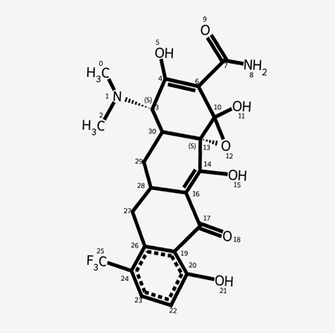 CN(C)[C@@H]1C(O)=C(C(N)=O)C2(O)O[C@@]23C(O)=C2C(=O)c4c(O)ccc(C(F)(F)F)c4CC2CC13